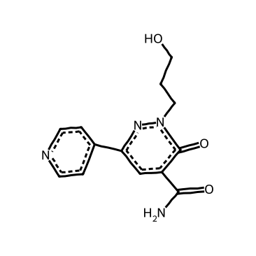 NC(=O)c1cc(-c2ccncc2)nn(CCCO)c1=O